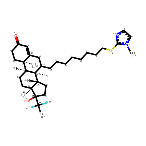 Cn1ccnc1SCCCCCCCCC1CC2=CC(=O)CC[C@]2(C)[C@@H]2CC[C@@]3(C)[C@@H](CCC3(O)C(F)(F)C(F)(F)F)[C@H]12